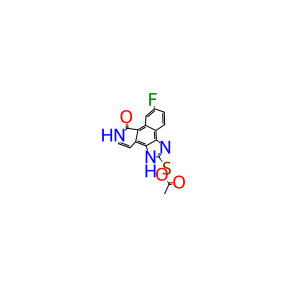 CC(=O)OSc1nc2c3ccc(F)cc3c3c(=O)[nH]ccc3c2[nH]1